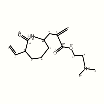 C=CC1CCCC(CC(=C)C(=O)OCCN(C)C)NC1=O